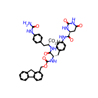 NC(=O)Nc1ccc(C[C@@H](NC(=O)[C@H](Cc2ccc(NC(=O)[C@@H]3CC(=O)NC(=O)N3)cc2)NC(=O)OCc2cccc3c2Cc2ccccc2-3)C(=O)O)cc1